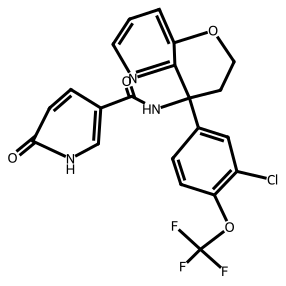 O=C(NC1(c2ccc(OC(F)(F)F)c(Cl)c2)CCOc2cccnc21)c1ccc(=O)[nH]c1